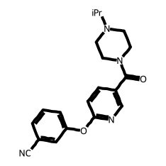 CC(C)N1CCN(C(=O)c2ccc(Oc3cccc(C#N)c3)nc2)CC1